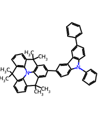 CC1(C)c2cccc3c2N2c4c1cccc4C(C)(C)c1cc(-c4ccc5c(c4)c4cc(-c6ccccc6)ccc4n5-c4ccccc4)cc(c12)C3(C)C